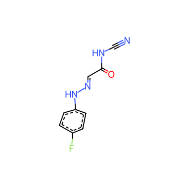 N#CNC(=O)C=NNc1ccc(F)cc1